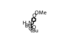 CCC(N)(Cc1ccc(OCOC)cc1)C(=O)OC(C)(C)C